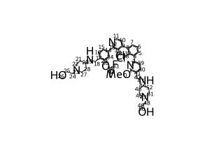 COc1nc(-c2cccc(-c3ccnc(-c4ccc(CNC5CCN(CCO)CC5)c(OC(F)F)c4)c3Cl)c2Cl)ccc1CNC1CCN(CCO)CC1